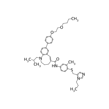 CCCCOCCOc1ccc(-c2ccc3c(c2)C=C(C(=O)Nc2ccc(SCc4cncn4CCC)c(C)c2)CCCN3CC(C)C)cc1